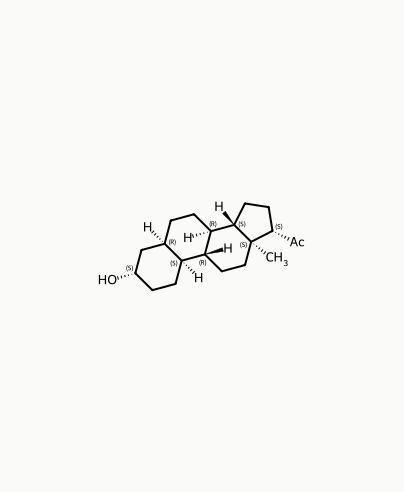 CC(=O)[C@H]1CC[C@H]2[C@@H]3CC[C@@H]4C[C@@H](O)CC[C@@H]4[C@H]3CC[C@]12C